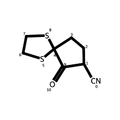 N#CC1CCC2(SCCS2)C1=O